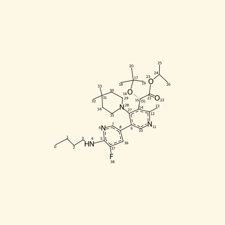 CCCCNc1ncc(-c2cnc(C)c([C@H](OC(C)(C)C)C(=O)OC(C)C)c2N2CCC(C)(C)CC2)cc1F